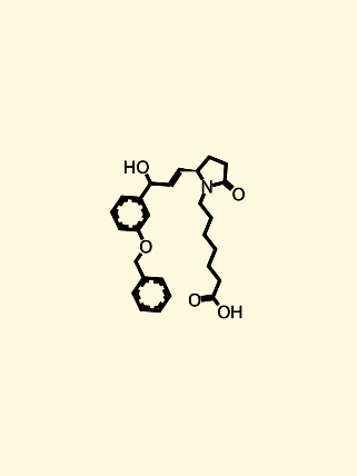 O=C(O)CCCCCCN1C(=O)CC[C@@H]1/C=C/C(O)c1cccc(OCc2ccccc2)c1